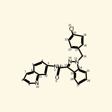 O=C(Nc1ccc2cccnc2c1)c1nn(Cc2ccc(Cl)cc2)c2ccccc12